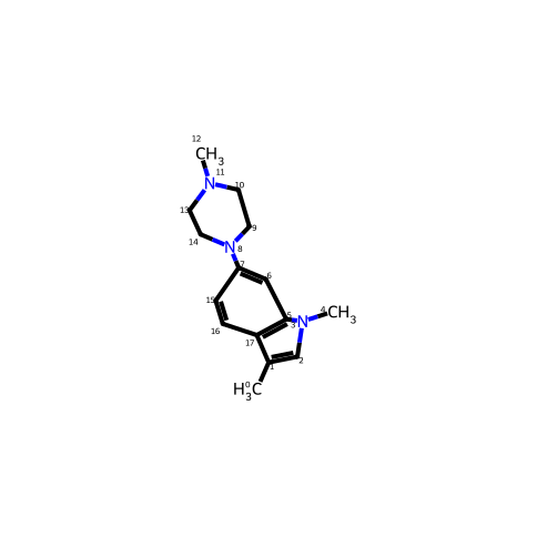 Cc1cn(C)c2cc(N3CCN(C)CC3)ccc12